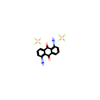 F[B-](F)(F)F.F[B-](F)(F)F.N#[N+]c1cccc2c1C(=O)c1cccc([N+]#N)c1C2=O